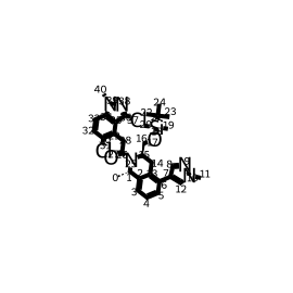 C[C@H]1c2cccc(-c3cnn(C)c3)c2C[C@H](CO[Si](C)(C)C(C)(C)C)N1C(=O)Cc1c(Cl)ccc2c1c(Cl)nn2C